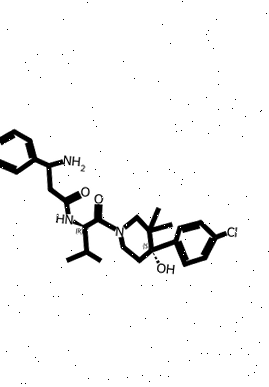 CC(C)[C@@H](NC(=O)CC(N)c1ccccc1)C(=O)N1CC[C@](O)(c2ccc(Cl)cc2)C(C)(C)C1